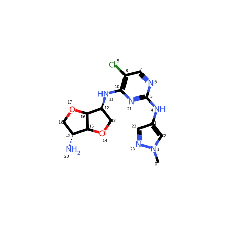 Cn1cc(Nc2ncc(Cl)c(N[C@H]3COC4C3OC[C@H]4N)n2)cn1